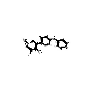 N#Cc1c(F)c[n+]([O-])cc1-c1ccc(Oc2ccccc2)cc1